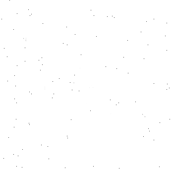 CC1(c2ccc(C#N)cc2F)Oc2cccc(C3CCNCC3)c2O1